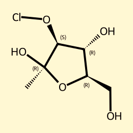 C[C@@]1(O)O[C@H](CO)[C@@H](O)[C@@H]1OCl